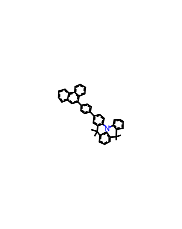 CC1(C)c2ccccc2N2c3ccc(-c4ccc(-c5cc6ccccc6c6ccccc56)cc4)cc3C(C)(C)c3cccc1c32